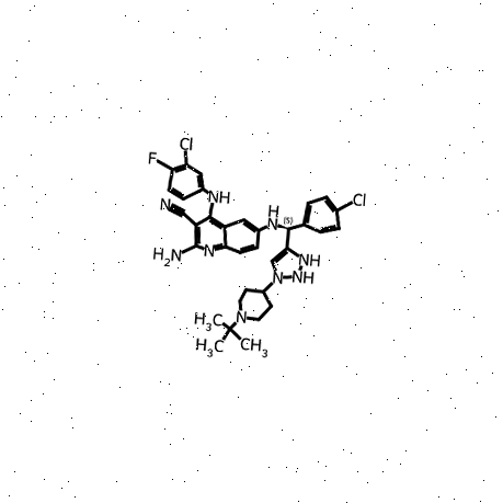 CC(C)(C)N1CCC(N2C=C([C@@H](Nc3ccc4nc(N)c(C#N)c(Nc5ccc(F)c(Cl)c5)c4c3)c3ccc(Cl)cc3)NN2)CC1